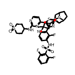 CC1(C#N)CC(N2CC3CCC(C2)N3c2nc(-c3cccc(NS(=O)(=O)c4c(F)cccc4F)c3F)c(-c3ccnc(NC4CCS(=O)(=O)CC4)n3)s2)C1